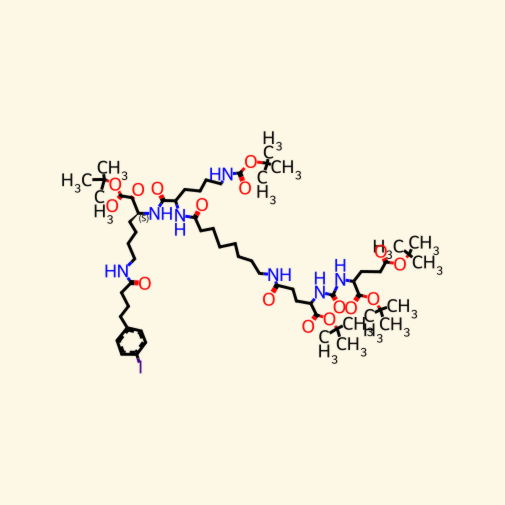 CC(C)(C)OC(=O)CCC(NC(=O)NC(CCC(=O)NCCCCCCCC(=O)NC(CCCCNC(=O)OC(C)(C)C)C(=O)N[C@@H](CCCCNC(=O)CCCc1ccc(I)cc1)C(=O)C(=O)OC(C)(C)C)C(=O)OC(C)(C)C)C(=O)OC(C)(C)C